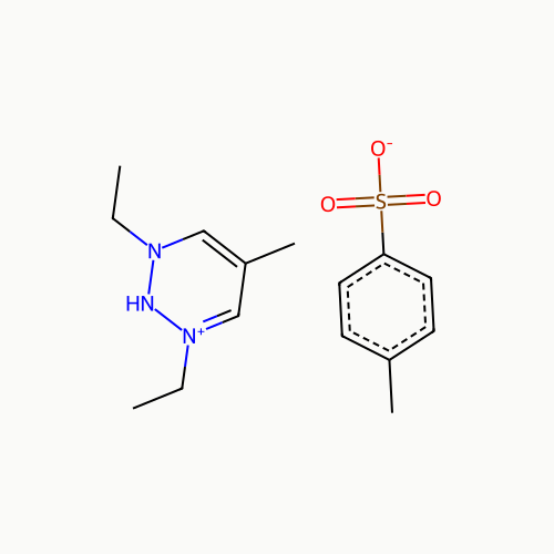 CCN1C=C(C)C=[N+](CC)N1.Cc1ccc(S(=O)(=O)[O-])cc1